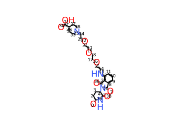 O=C1CCC(N2C(=O)c3cccc(NCCOCCOCCOCCN4CCC(C(=O)O)CC4)c3C2=O)C(=O)N1